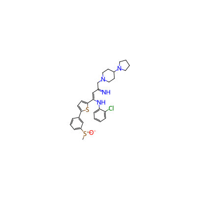 C[S+]([O-])c1cccc(-c2ccc(/C(=C/C(=N)CN3CCC(N4CCCC4)CC3)Nc3ccccc3Cl)s2)c1